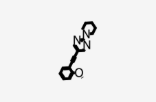 COc1ccccc1C#Cc1cnc(N2CCCCC2)nc1